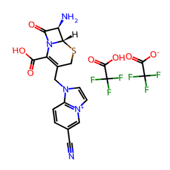 N#Cc1ccc2n(CC3=C(C(=O)O)N4C(=O)[C@@H](N)[C@@H]4SC3)cc[n+]2c1.O=C(O)C(F)(F)F.O=C([O-])C(F)(F)F